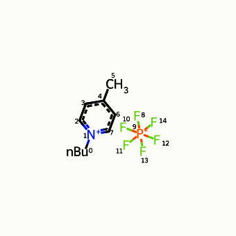 CCCC[n+]1ccc(C)cc1.F[P-](F)(F)(F)(F)F